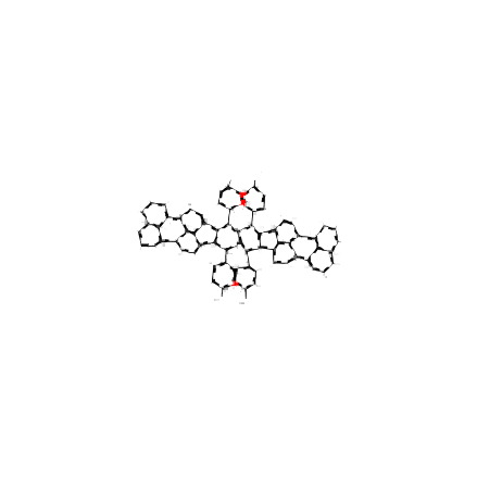 Fc1ccc(-c2c3c(-c4ccc(F)cc4)c4c5ccc6c7cccc8cccc(c9ccc(c4c(-c4ccc(F)cc4)c3c(-c3ccc(F)cc3)c3c4ccc%10c%11cccc%12cccc(c%13ccc(c23)c4c%13%10)c%12%11)c5c69)c87)cc1